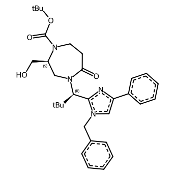 CC(C)(C)OC(=O)N1CCC(=O)N([C@@H](c2nc(-c3ccccc3)cn2Cc2ccccc2)C(C)(C)C)C[C@H]1CO